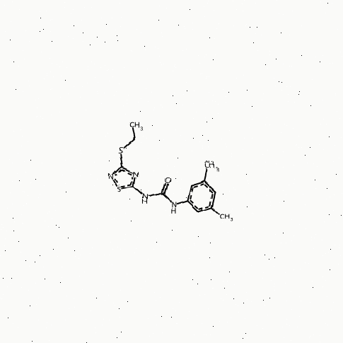 CCSc1nsc(NC(=O)Nc2cc(C)cc(C)c2)n1